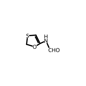 O=CNC1=CSCO1